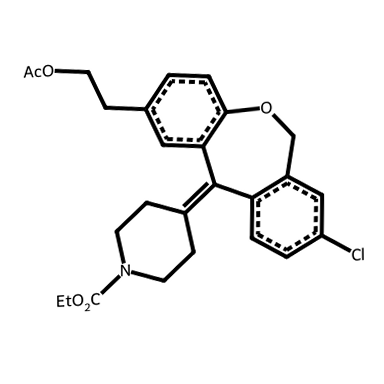 CCOC(=O)N1CCC(=C2c3ccc(Cl)cc3COc3ccc(CCOC(C)=O)cc32)CC1